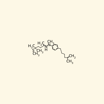 C=C(C)CCCCc1ccc(N(C)NC(=C)CCC(C)(C)SC)cc1